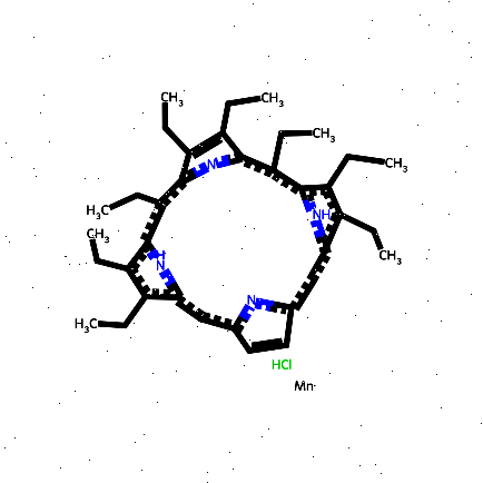 CCC1=C(CC)c2nc1c(CC)c1[nH]c(cc3nc(cc4[nH]c(c2CC)c(CC)c4CC)C=C3)c(CC)c1CC.Cl.[Mn]